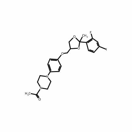 CC(=O)N1CCN(c2ccc(OCC3COC(C)(c4ccc(I)cc4F)O3)cc2)CC1